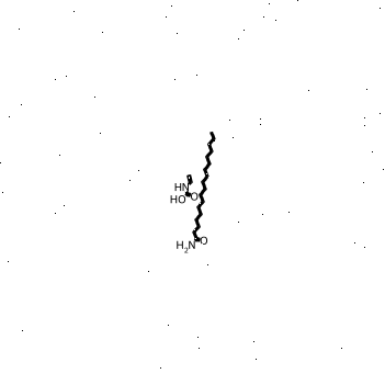 C=CNC(=O)O.CCCCCCCCCCCCCCCCCC(N)=O